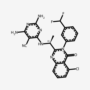 C[C@H](Nc1nc(N)nc(N)c1C#N)c1nc2cccc(Cl)c2c(=O)n1-c1cccc(C(F)F)c1